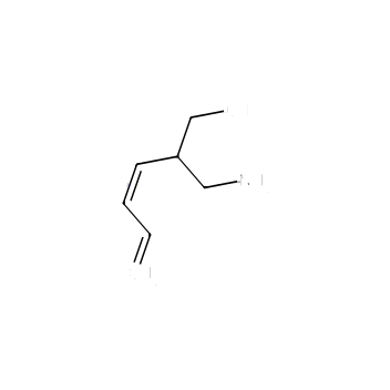 C=C/C=C\C(CC)CN